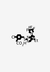 CCn1cc(N2CC(F)(F)C(F)(F)C2)c2nc(SCc3ccc(Cl)c(CC(=O)O)c3)ncc21